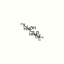 CCCCNC(O)CCNC(=O)OC(C)(C)C